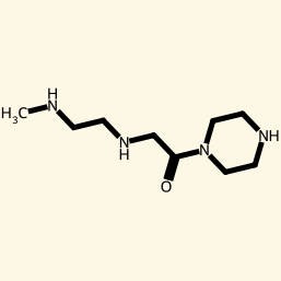 CNCCNCC(=O)N1CCNCC1